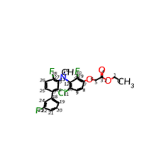 CCOC(=O)COc1ccc(Cl)c(N(C)c2cc(-c3cccc(F)c3)ccc2F)c1F